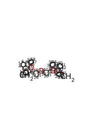 C=CCc1ccccc1C(OCC1CCCC(OC2CCCC(COC(c3ccccc3)(c3ccccc3)c3ccccc3CC=C)C2)C1)(c1ccccc1)c1ccccc1